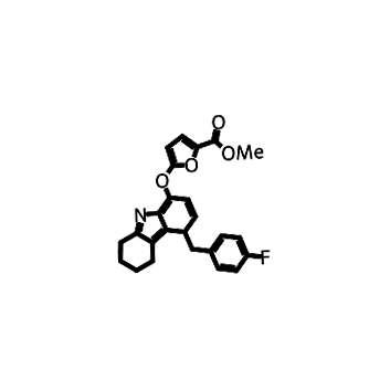 COC(=O)c1ccc(OC2=C3N=C4CCCCC4=C3C(Cc3ccc(F)cc3)C=C2)o1